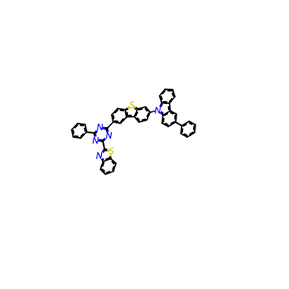 c1ccc(-c2ccc3c(c2)c2ccccc2n3-c2ccc3c(c2)sc2ccc(-c4nc(-c5ccccc5)nc(-c5nc6ccccc6s5)n4)cc23)cc1